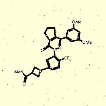 CNC(=O)C1CN(c2ccc(C(F)(F)F)c(-n3nc(-c4cc(OC)cc(OC)c4)c4c(c3=O)CCC4)c2)C1